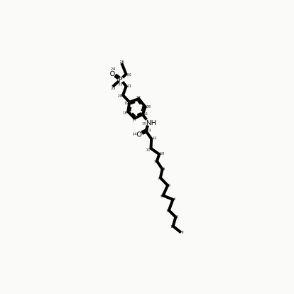 CCCCCCCCCCCCCC(=O)Nc1ccc(CCP(C)(=O)CC)cc1